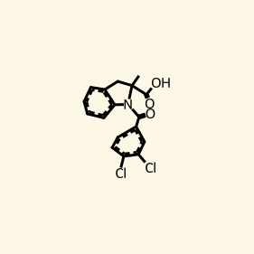 CC1(C(=O)O)Cc2ccccc2N1C(=O)c1ccc(Cl)c(Cl)c1